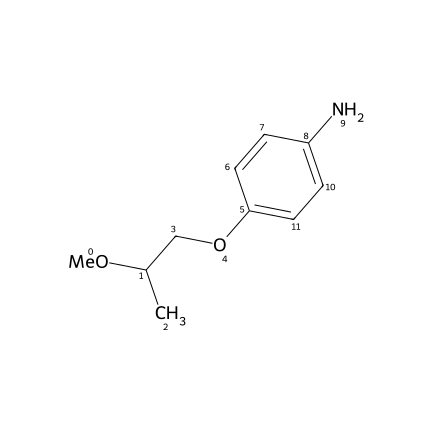 COC(C)COc1ccc(N)cc1